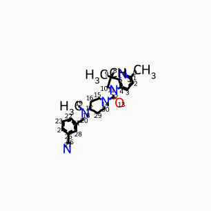 Cc1ccc2c(n1)C(C)(C)CN2C(=O)N1CCC(N(C)Cc2cccc(C#N)c2)CC1